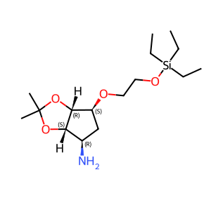 CC[Si](CC)(CC)OCCO[C@H]1C[C@@H](N)[C@@H]2OC(C)(C)O[C@@H]21